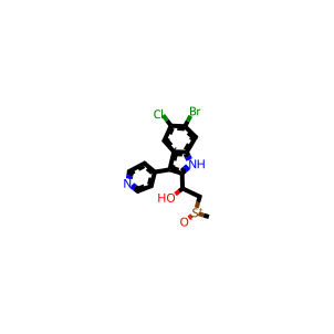 C[S+]([O-])CC(O)c1[nH]c2cc(Br)c(Cl)cc2c1-c1ccncc1